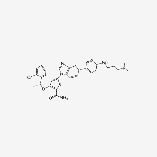 C[C@@H](Oc1cc(-n2cnc3c2C=CC(C2=CCC(NCCCN(C)C)N=C2)C3)sc1C(N)=O)c1ccccc1Cl